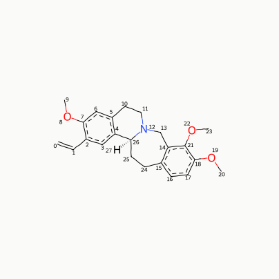 C=Cc1cc2c(cc1OC)CCN1Cc3c(ccc(OC)c3OC)CC[C@@H]21